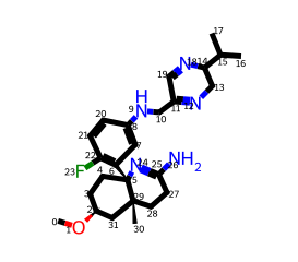 CO[C@H]1CC[C@]2(c3cc(NCC4=NCC(C(C)C)N=C4)ccc3F)N=C(N)CC[C@]2(C)C1